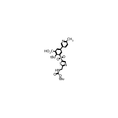 Cc1ccc(-c2cc(C(=O)O)c(C(C)(C)C)c(S(=O)(=O)c3cnc(CNC(=O)OC(C)(C)C)s3)c2)cn1